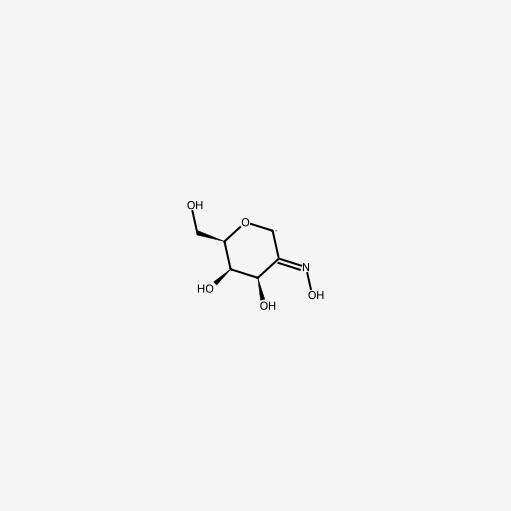 OC[C@H]1O[CH]C(=NO)[C@@H](O)[C@H]1O